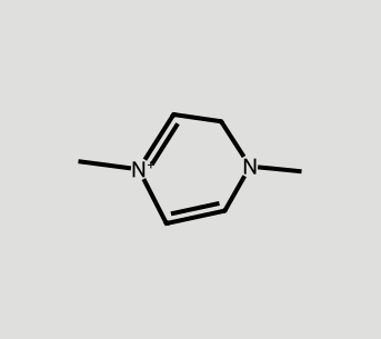 CN1C=C[N+](C)=CC1